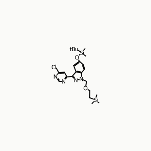 CC(C)(C)[Si](C)(C)Oc1ccc2c(c1)c(-c1cc(Cl)ncn1)nn2COCC[Si](C)(C)C